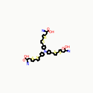 N#C/C(=C/c1ccc(-c2ccc(-c3ccc(N(c4ccc(-c5ccc(-c6ccc(/C=C(\C#N)C(=O)O)s6)s5)cc4)c4ccc(-c5ccc(-c6ccc(/C=C(\C#N)C(=O)O)s6)s5)cc4)cc3)s2)s1)C(=O)O